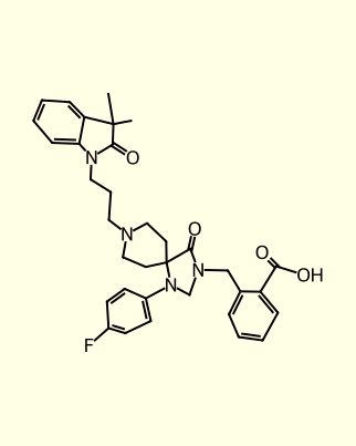 CC1(C)C(=O)N(CCCN2CCC3(CC2)C(=O)N(Cc2ccccc2C(=O)O)CN3c2ccc(F)cc2)c2ccccc21